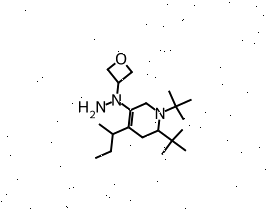 CCC(C)C1=C(N(N)C2COC2)CN(C(C)(C)C)C(C(C)(C)C)C1